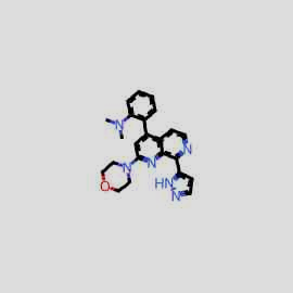 CN(C)c1ccccc1-c1cc(N2CCOCC2)nc2c(-c3ccn[nH]3)nccc12